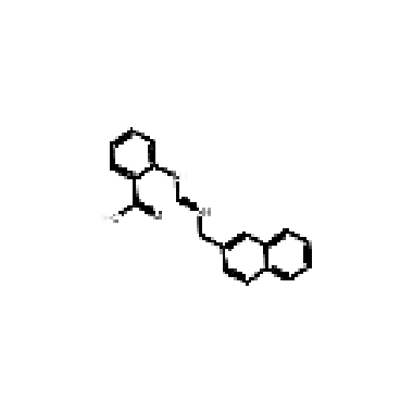 O=C(O)c1ccccc1NC=[SH]Cc1ccc2ccccc2c1